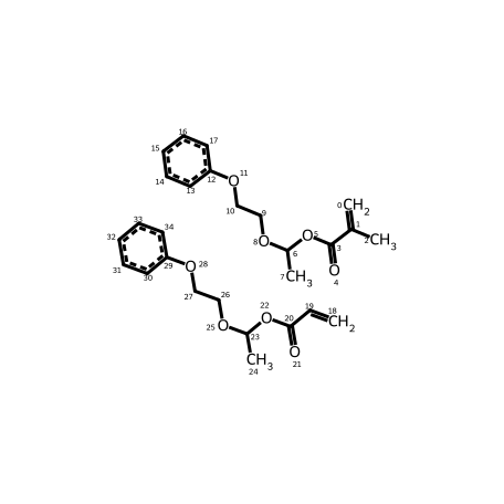 C=C(C)C(=O)OC(C)OCCOc1ccccc1.C=CC(=O)OC(C)OCCOc1ccccc1